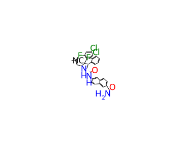 C=C(C)C[C@@H]1N[C@@H](C(=O)Nc2ccc3cc(C(N)=O)ccc3c2)[C@H](c2cccc(Cl)c2F)[C@@]1(C#N)c1ccc(Cl)cc1F